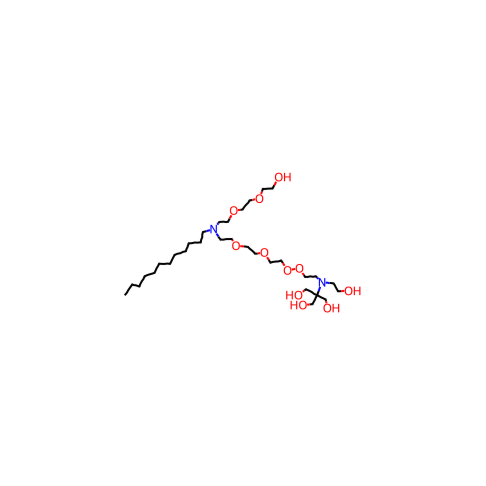 CCCCCCCCCCCCN(CCOCCOCCO)CCOCCOCCOOCCN(CCO)C(CO)(CO)CO